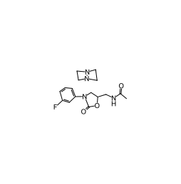 C1CN2CCN12.CC(=O)NCC1CN(c2cccc(F)c2)C(=O)O1